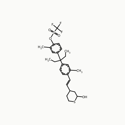 CCC(CC)(c1ccc(C=CC2CCSC(O)C2)c(C)c1)c1ccc(OS(=O)(=O)C(F)(F)F)c(C)c1